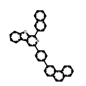 c1ccc2cc(-c3nc(-c4ccc(-c5ccc6ccc7ccccc7c6c5)cc4)cc4c3oc3ccccc34)ccc2c1